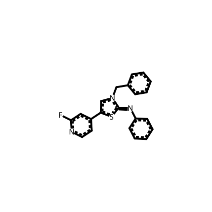 Fc1cc(-c2cn(Cc3ccccc3)c(=Nc3ccccc3)s2)ccn1